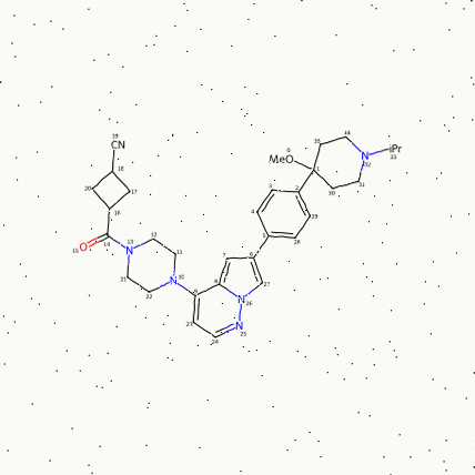 COC1(c2ccc(-c3cc4c(N5CCN(C(=O)C6CC(C#N)C6)CC5)ccnn4c3)cc2)CCN(C(C)C)CC1